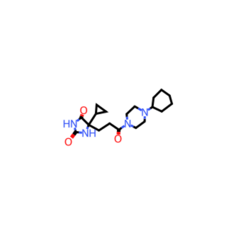 O=C1NC(=O)C(CCC(=O)N2CCN(C3CCCCC3)CC2)(C2CC2)N1